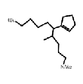 CNCCCC(C)C(CCCCC(C)(C)C)C1=CCCC1